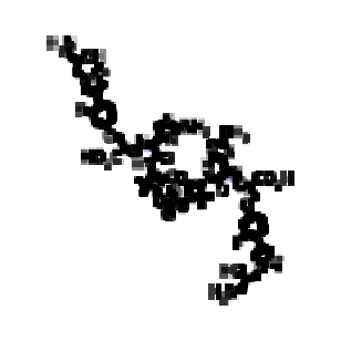 C[n+]1cc(-c2ccc(OC[C@H](O/N=C(\C(=O)N[C@@H]3C(=O)N(OS(=O)(=O)ON4C(=O)[C@@H](NC(=O)/C(=N\O[C@@H](COc5ccc(-c6cn(CC(O)CN)[n+](C)c6)c(F)c5)C(=O)O)c5csc(N)n5)C4(C)C)C3(C)C)c3csc(N)n3)C(=O)O)cc2F)cn1CC(O)CN